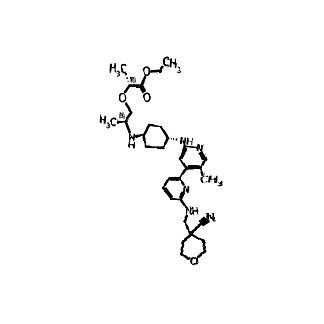 CCOC(=O)[C@@H](C)OC[C@H](C)N[C@H]1CC[C@H](Nc2cc(-c3cccc(NCC4(C#N)CCOCC4)n3)c(C)cn2)CC1